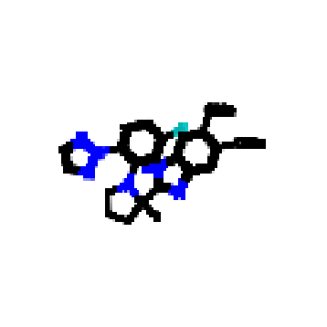 COc1cc2nc([C@]3(C)CCCN3c3cc(F)c[c]c3-n3nccn3)[nH]c2cc1OC